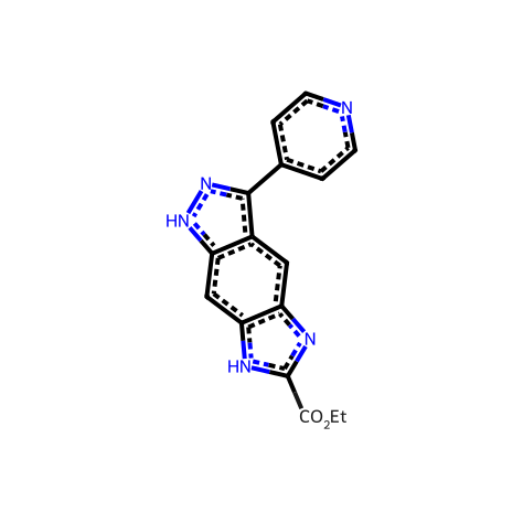 CCOC(=O)c1nc2cc3c(-c4ccncc4)n[nH]c3cc2[nH]1